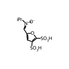 CC(C)[N+]([O-])=Cc1cc(S(=O)(=O)O)c(S(=O)(=O)O)o1